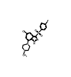 CN1CCN(c2cc(Cl)cc3c(S(=O)(=O)c4ccc(F)cc4)n[nH]c23)CC1